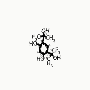 CC(O)(c1cc(C(C)(O)C(F)(F)F)c(O)cc1O)C(F)(F)F